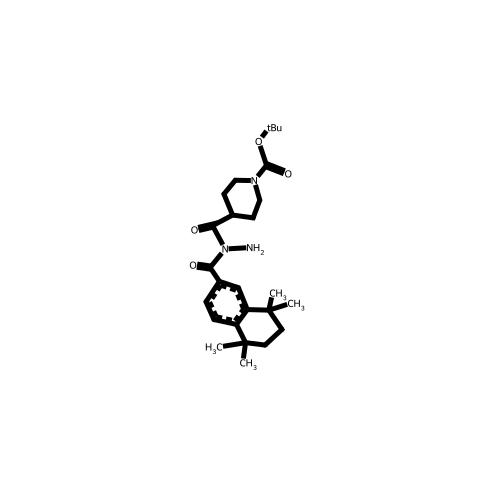 CC(C)(C)OC(=O)N1CCC(C(=O)N(N)C(=O)c2ccc3c(c2)C(C)(C)CCC3(C)C)CC1